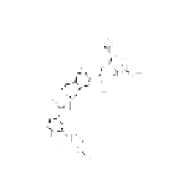 C=N/C=C(\C=C(/C)c1cc2cc(NC(=O)c3ccnc(N4CCN(C)CC4)c3)ncc2cn1)C(=O)NC